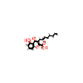 CCCCCCCCC(C(=O)C(=O)O)C(=O)c1ccccc1O